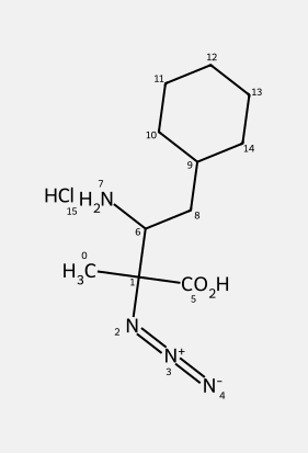 CC(N=[N+]=[N-])(C(=O)O)C(N)CC1CCCCC1.Cl